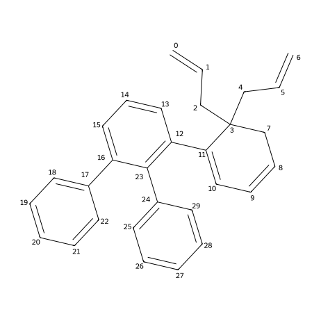 C=CCC1(CC=C)CC=CC=C1c1cccc(-c2ccccc2)c1-c1ccccc1